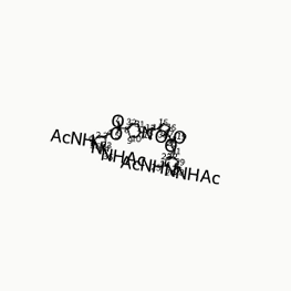 CC(=O)Nc1cc(COC(=O)c2ccc(/N=C/c3ccc(C(=O)OCc4cc(NC(C)=O)nc(NC(C)=O)c4)o3)cc2)cc(NC(C)=O)n1